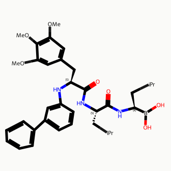 COc1cc(C[C@H](Nc2cccc(-c3ccccc3)c2)C(=O)N[C@@H](CC(C)C)C(=O)N[C@@H](CC(C)C)B(O)O)cc(OC)c1OC